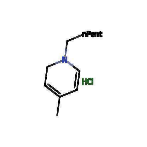 CCCCCCN1C=CC(C)=CC1.Cl